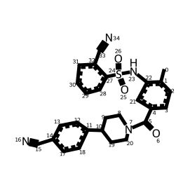 Cc1ccc(C(=O)N2CCC(c3ccc(C#N)cc3)CC2)cc1NS(=O)(=O)c1ccccc1C#N